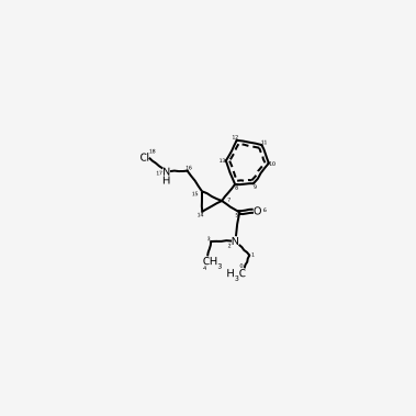 CCN(CC)C(=O)C1(c2ccccc2)CC1CNCl